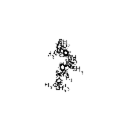 Cc1c(NC(=O)c2ccc(C(C)(C)C)cc2)cccc1-c1cn(C)c(=O)c(Nc2ccc(C3C(=O)N(C)CCN3C(C)C)cc2)n1